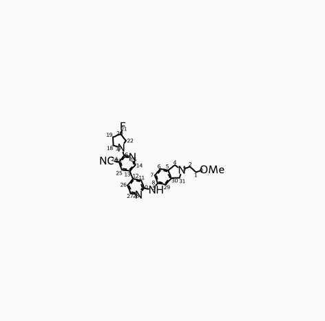 COCCN1Cc2ccc(Nc3cc(-c4cnc(N5CCC(F)C5)c(C#N)c4)ccn3)cc2C1